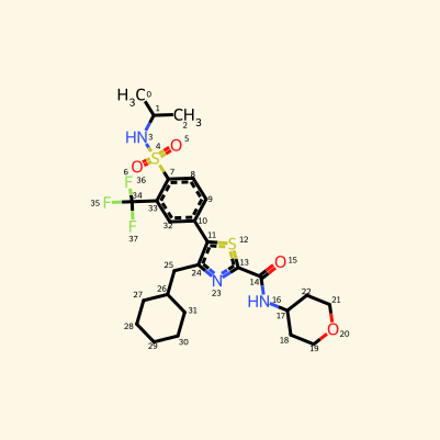 CC(C)NS(=O)(=O)c1ccc(-c2sc(C(=O)NC3CCOCC3)nc2CC2CCCCC2)cc1C(F)(F)F